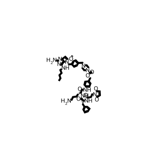 CCCCCNc1nc(N)nc2ccn(Cc3ccc(CN4CCN(C(=O)OCc5ccc(NC(=O)[C@@H](CCCCN)NC(=O)[C@H](Cc6ccccc6)NC(=O)CCN6C(=O)C=CC6=O)cc5)CC4)cc3OC)c12